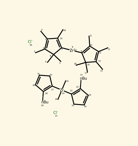 CC1=C(C)C(C)(C)[C]([Zr+2][C]2=C(C)C(C)=C(C)C2(C)C)=C1C.CCCCC1=[C]([Zr]([CH3])([CH3])[C]2=C(CCCC)C=CC2)CC=C1.[Cl-].[Cl-]